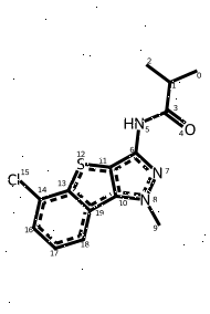 CC(C)C(=O)Nc1nn(C)c2c1sc1c(Cl)cccc12